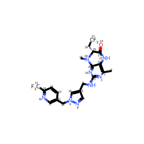 Cc1nc(NCc2cnn(Cc3ccc(C(F)(F)F)nc3)c2)nc2c1NC(=O)[C@@H](CC(F)(F)F)N2C